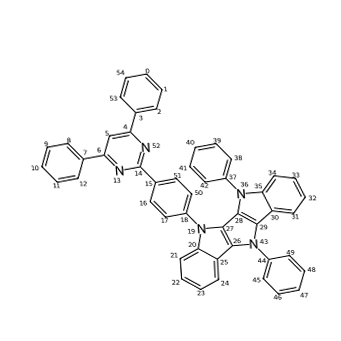 c1ccc(-c2cc(-c3ccccc3)nc(-c3ccc(-n4c5ccccc5c5c4c4c(c6ccccc6n4-c4ccccc4)n5-c4ccccc4)cc3)n2)cc1